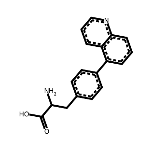 NC(Cc1ccc(-c2cccc3ncccc23)cc1)C(=O)O